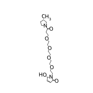 C[C@H]1CCN(C(=O)CCOCCOCCOCCOCCN2C(=O)C=CC2O)C1